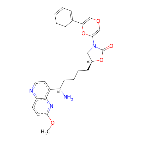 COc1ccc2nccc([C@@H](N)CCCC[C@H]3CN(C4=COC=C(C5=CC=CCC5)O4)C(=O)O3)c2n1